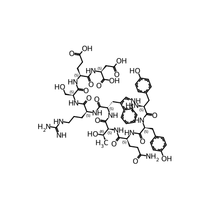 C[C@@H](O)[C@H](NC(=O)[C@H](CCC(N)=O)NC(=O)[C@H](Cc1ccc(O)cc1)NC(=O)[C@@H](N)Cc1ccc(O)cc1)C(=O)N[C@@H](Cc1c[nH]c2ccccc12)C(=O)N[C@@H](CCCNC(=N)N)C(=O)N[C@@H](CO)C(=O)N[C@@H](CCC(=O)O)C(=O)N[C@@H](CC(=O)O)C(=O)O